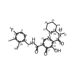 Cc1c(F)ccc(CNC(=O)c2cn3c(c(O)c2=O)C(=O)N(C)[C@@H]2CCCCN23)c1F